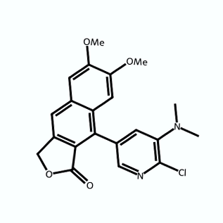 COc1cc2cc3c(c(-c4cnc(Cl)c(N(C)C)c4)c2cc1OC)C(=O)OC3